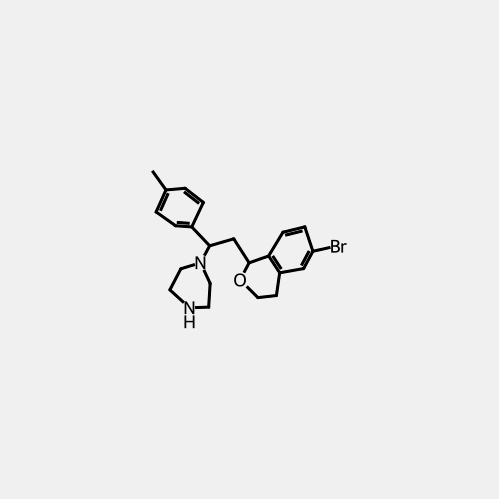 Cc1ccc(C(CC2OCCc3cc(Br)ccc32)N2CCNCC2)cc1